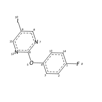 Fc1ccc(Oc2ncc(I)cn2)cc1